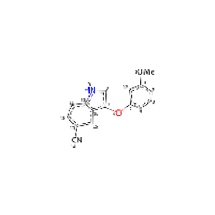 COc1cccc(Oc2c[nH]c3ccc(C#N)cc23)c1